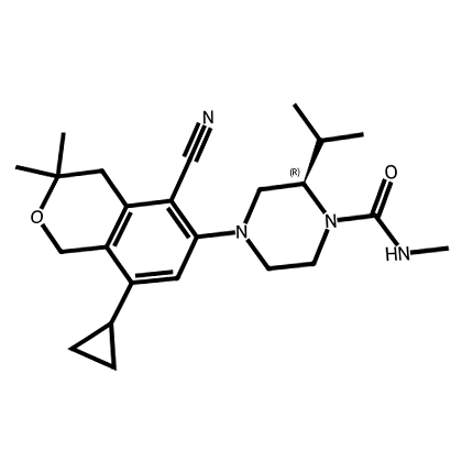 CNC(=O)N1CCN(c2cc(C3CC3)c3c(c2C#N)CC(C)(C)OC3)C[C@H]1C(C)C